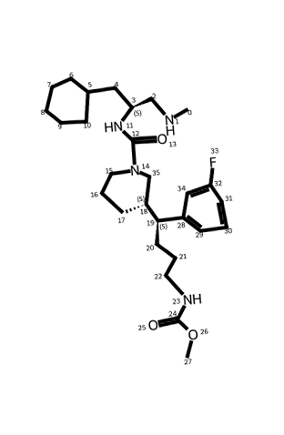 CNC[C@H](CC1CCCCC1)NC(=O)N1CCC[C@@H]([C@H](CCCNC(=O)OC)c2cccc(F)c2)C1